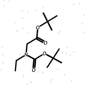 CCN(CC(=O)OC(C)(C)C)C(=O)OC(C)(C)C